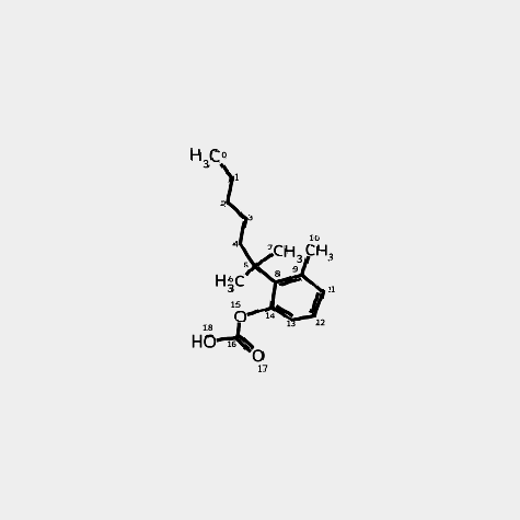 CCCCCC(C)(C)c1c(C)cccc1OC(=O)O